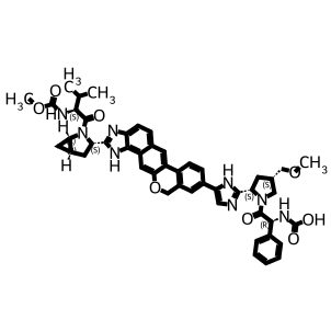 COC[C@H]1C[C@@H](c2ncc(-c3ccc4c(c3)COc3cc5c(ccc6nc([C@@H]7C[C@H]8C[C@H]8N7C(=O)[C@@H](NC(=O)OC)C(C)C)[nH]c65)cc3-4)[nH]2)N(C(=O)[C@H](NC(=O)O)c2ccccc2)C1